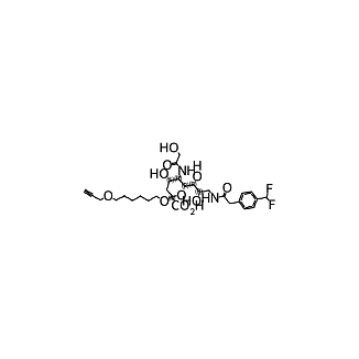 C#CCOCCCCCCO[C@]1(C(=O)O)C[C@H](O)[C@@H](NC(=O)CO)[C@H]([C@H](O)[C@H](O)CNC(=O)Cc2ccc(C(F)F)cc2)O1